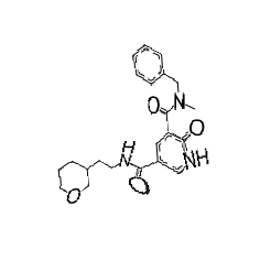 CN(Cc1ccccc1)C(=O)c1cc(C(=O)NCCC2CCCOC2)c[nH]c1=O